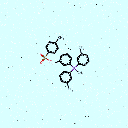 C[P+](c1cccc(C(F)(F)F)c1)(c1cccc(C(F)(F)F)c1)c1cccc(C(F)(F)F)c1.Cc1ccc(S(=O)(=O)[O-])cc1